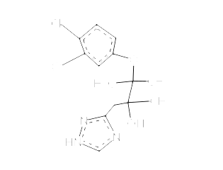 CC(O)(Cc1nc[nH]n1)C(C)(C)Oc1ccc(Cl)c(Cl)c1